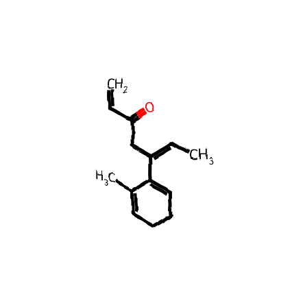 C=CC(=O)C/C(=C/C)C1=CCCC=C1C